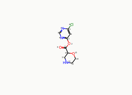 O=C(Oc1cc(Cl)ncn1)C1CNCCO1